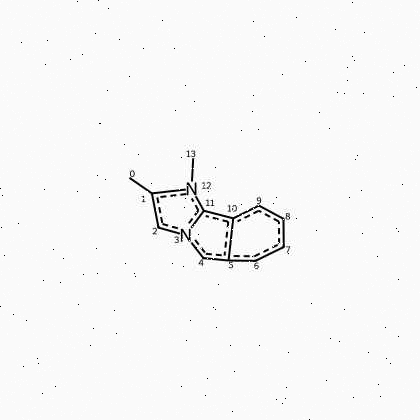 Cc1cn2cc3ccccc3c2n1C